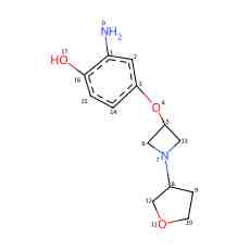 Nc1cc(OC2CN(C3CCOC3)C2)ccc1O